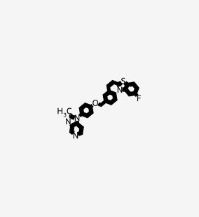 Cc1nc2cnccc2n1-c1ccc(OCc2cccc(/C=C\c3nc4cc(F)ccc4s3)c2)cc1